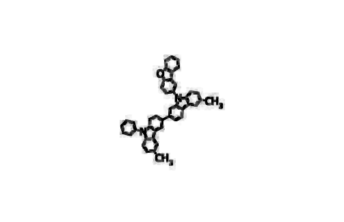 Cc1ccc2c(c1)c1cc(-c3ccc4c5cc(C)ccc5n(-c5ccc6oc7ccccc7c6c5)c4c3)ccc1n2-c1ccccc1